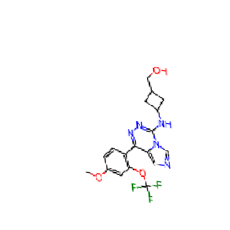 COc1ccc(-c2nnc(NC3CC(CO)C3)n3cncc23)c(OC(F)(F)F)c1